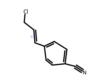 N#Cc1ccc(/C=C/CCl)cc1